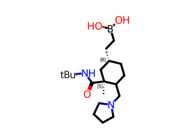 CC(C)(C)NC(=O)[C@@]1(C)C[C@H](CCB(O)O)CCC1CN1CCCC1